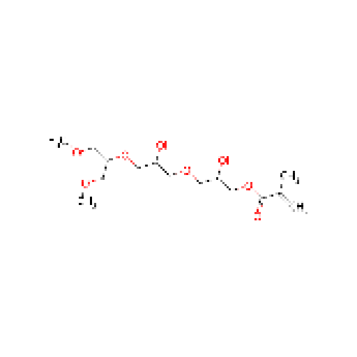 C=C(C)C(=O)OCC(O)COCC(O)COC(COC)COC